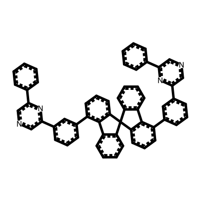 c1ccc(-c2cncc(-c3cccc(-c4cccc5c4-c4ccccc4C54c5ccccc5-c5c(-c6cccc(-c7cncc(-c8ccccc8)n7)c6)cccc54)c3)n2)cc1